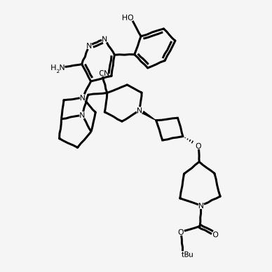 CC(C)(C)OC(=O)N1CCC(O[C@H]2C[C@H](N3CCC(C#N)(CN4C5CCC4CN(c4cc(-c6ccccc6O)nnc4N)C5)CC3)C2)CC1